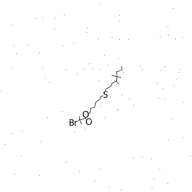 CCCC(C)(C)C(C)CCCSCCCCCCOC(=O)C(C)(C)Br